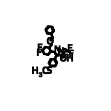 CSc1ccc(-c2c(C3CCC(F)(F)CC3COCc3ccccc3)nn(CC(F)(F)F)c2O)cc1